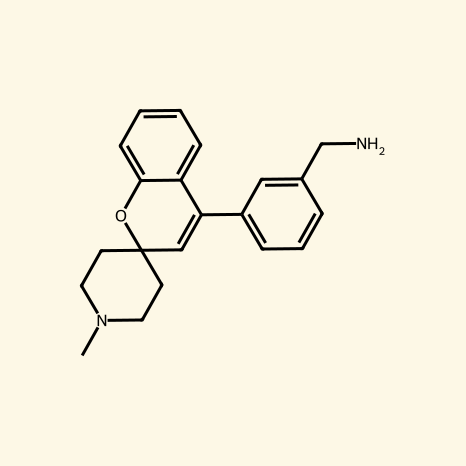 CN1CCC2(C=C(c3cccc(CN)c3)c3ccccc3O2)CC1